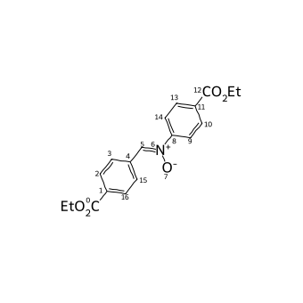 CCOC(=O)c1ccc(C=[N+]([O-])c2ccc(C(=O)OCC)cc2)cc1